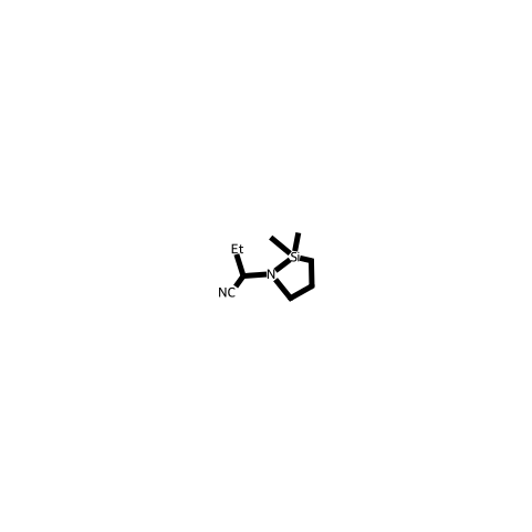 CCC(C#N)N1CCC[Si]1(C)C